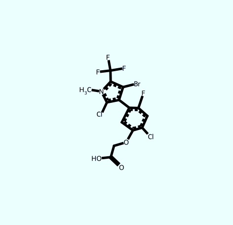 Cn1c(Cl)c(-c2cc(OCC(=O)O)c(Cl)cc2F)c(Br)c1C(F)(F)F